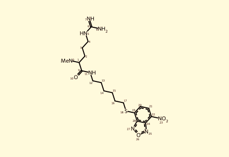 CNC(CCCNC(=N)N)C(=O)NCCCCCCSc1ccc([N+](=O)[O-])c2nonc12